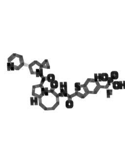 O=C(N[C@H]1CCCC[C@H]2CC[C@@H](C(=O)N3C[C@H](c4cccnc4)CC34CC4)N2C1=O)c1cc2cc([C@@H](F)P(=O)(O)O)ccc2s1